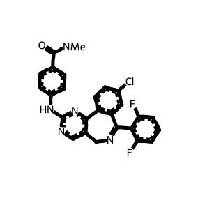 CNC(=O)c1ccc(Nc2ncc3c(n2)-c2ccc(Cl)cc2C(c2c(F)cccc2F)=NC3)cc1